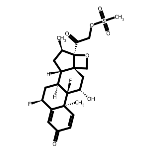 C[C@@H]1C[C@H]2[C@@H]3C[C@H](F)C4=CC(=O)C=C[C@]4(C)[C@@]3(F)[C@@H](O)C[C@@]23CO[C@]13C(=O)COS(C)(=O)=O